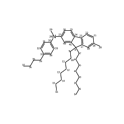 CCCCCCCCC1(CCCCCCCC)c2cc(C)ccc2-c2ccc(N(C)c3ccc(CCCC)cc3)cc21